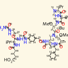 CC[C@H](C)[C@@H]([C@@H](CC(=O)N1CCC[C@H]1[C@H](OC)[C@@H](C)C(=O)N[C@H](/C=C/C(=O)NOCc1ccc(NC(=O)[C@@H](CCCNC(N)=O)NC(=O)[C@H](NC(=O)CCCC(=O)O)C(C)C)cc1)Cc1ccccc1)OC)N(C)C(=O)[C@@H](NC(=O)[C@H](C(C)C)N(C)C)C(C)C